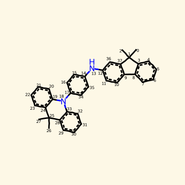 CC1(C)c2ccccc2-c2ccc(Nc3ccc(N4c5ccccc5C(C)(C)c5ccccc54)cc3)cc21